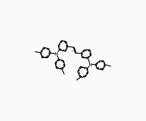 Cc1ccc(N(c2ccc(C)cc2)c2cccc(/C=C/c3cccc(N(c4ccc(C)cc4)c4ccc(C)cc4)c3)c2)cc1